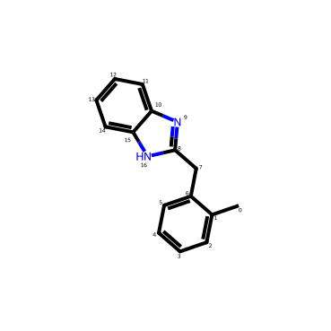 Cc1ccccc1Cc1nc2ccccc2[nH]1